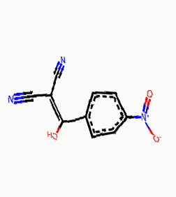 N#CC(C#N)=C(O)c1ccc([N+](=O)[O-])cc1